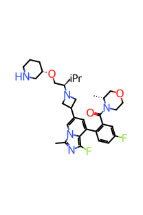 Cc1nc(F)c2c(-c3ccc(F)cc3C(=O)N3CCOC[C@H]3C)cc(C3CN([C@@H](CO[C@H]4CCCNC4)C(C)C)C3)cn12